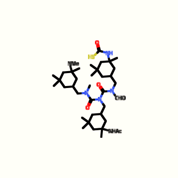 CNC1(C)CC(CN(C)C(=O)N(CC2CC(C)(C)CC(C)(NC(C)=O)C2)C(=O)N(C=O)CC2CC(C)(C)CC(C)(NC(=O)S)C2)CC(C)(C)C1